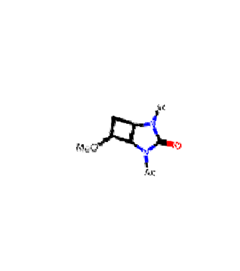 COC1CC2C1N(C(C)=O)C(=O)N2C(C)=O